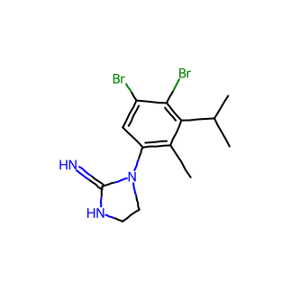 Cc1c(N2CCNC2=N)cc(Br)c(Br)c1C(C)C